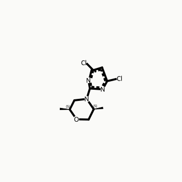 C[C@H]1CN(c2nc(Cl)cc(Cl)n2)[C@@H](C)CO1